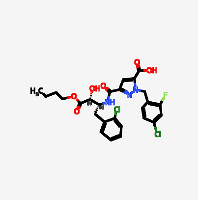 CCCCOC(=O)[C@H](O)[C@@H](Cc1ccccc1Cl)NC(=O)c1cc(C(=O)O)n(Cc2ccc(Cl)cc2F)n1